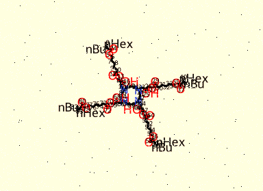 CCCCCCC(CCCC)C(=O)OCCCCCC(=O)OCC(O)CN1CCCN(CC(O)COC(=O)CCCCCOC(=O)C(CCCC)CCCCCC)CCN(CC(O)COC(=O)CCCCCOC(=O)C(CCCC)CCCCCC)CCCN(CC(O)COC(=O)CCCCCOC(=O)C(CCCC)CCCCCC)CC1